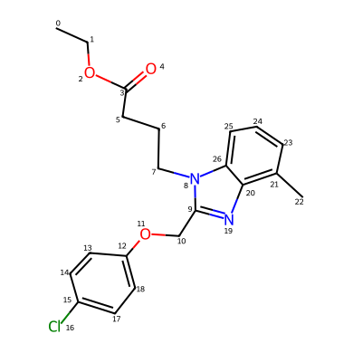 CCOC(=O)CCCn1c(COc2ccc(Cl)cc2)nc2c(C)cccc21